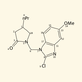 CCCC1CC(=O)N(Cn2c(Cl)nc3cc(OC)ccc32)C1